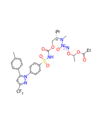 CCC(=O)OC(C)O/N=[N+](\[O-])N(C)[C@H](COC(=O)NS(=O)(=O)c1ccc(-n2nc(C(F)(F)F)cc2-c2ccc(C)cc2)cc1)C(C)C